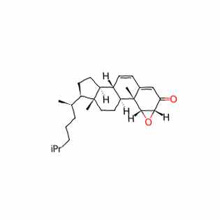 CC(C)CCC[C@@H](C)[C@H]1CC[C@H]2[C@@H]3C=CC4=CC(=O)[C@@H]5O[C@@H]5[C@]4(C)[C@H]3CC[C@]12C